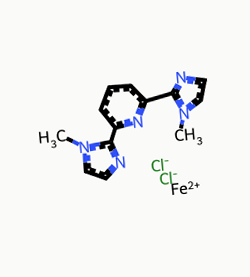 Cn1ccnc1-c1cccc(-c2nccn2C)n1.[Cl-].[Cl-].[Fe+2]